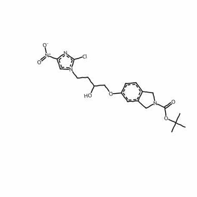 CC(C)(C)OC(=O)N1Cc2ccc(OCC(O)CCn3cc([N+](=O)[O-])nc3Cl)cc2C1